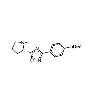 CCCCCCCCCCc1ccc(-c2noc([C@@H]3CCCN3)n2)cc1